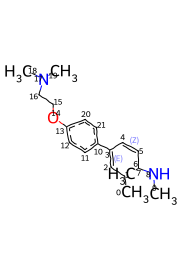 CC/C=C(\C=C/C(C)NC)c1ccc(OCCN(C)C)cc1